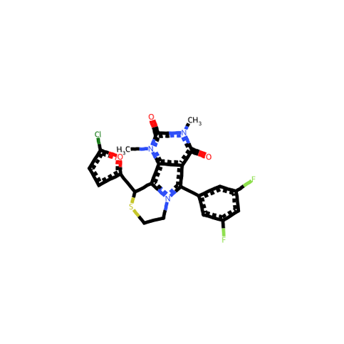 Cn1c(=O)c2c(-c3cc(F)cc(F)c3)n3c(c2n(C)c1=O)C(c1ccc(Cl)o1)SCC3